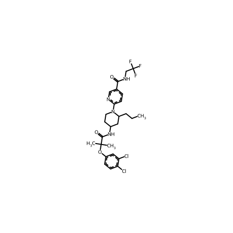 CCCC1CC(NC(=O)C(C)(C)Oc2ccc(Cl)c(Cl)c2)CCN1c1ccc(C(=O)NCC(F)(F)F)cn1